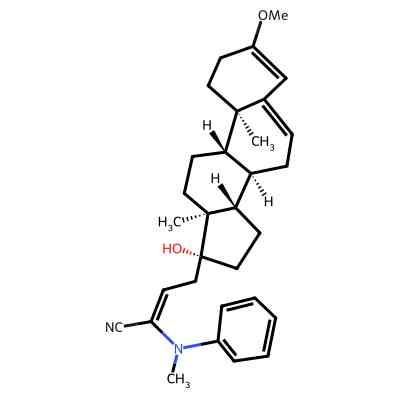 COC1=CC2=CC[C@@H]3[C@H](CC[C@@]4(C)[C@H]3CC[C@@]4(O)CC=C(C#N)N(C)c3ccccc3)[C@@]2(C)CC1